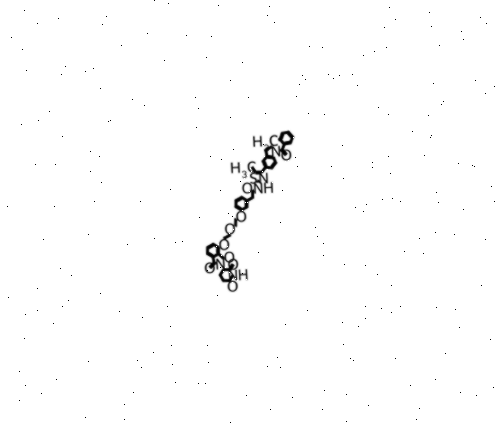 Cc1ccccc1C(=O)N1CCc2cc(-c3nc(NC(=O)Cc4cccc(OCCOCCOc5cccc6c5C(=O)N(C5CCC(=O)NC5=O)C6=O)c4)sc3C)ccc21